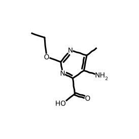 CCOc1nc(C)c(N)c(C(=O)O)n1